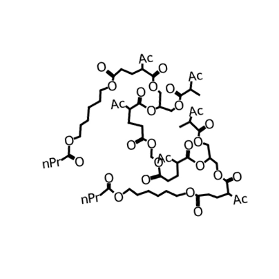 CCCC(=O)OCCCCCCOC(=O)CCC(C(C)=O)C(=O)OCC(COC(=O)C(C)C(C)=O)OC(=O)C(CCC(=O)OCOC(=O)CCC(C(C)=O)C(=O)OC(COC(=O)C(C)C(C)=O)COC(=O)C(CCC(=O)OCCCCCCOC(=O)CCC)C(C)=O)C(C)=O